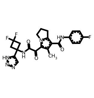 Cc1c(C(=O)Nc2ccc(F)cc2)c2n(c1C(=O)C(=O)NC1(c3cnn[nH]3)CC(F)(F)C1)CCC2